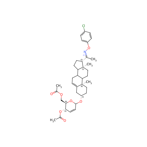 CC(=O)OC[C@H]1OC(O[C@H]2CC[C@@]3(C)C(=CCC4C3CC[C@@]3(C)C4CC[C@@H]3/C(C)=N/Oc3ccc(Cl)cc3)C2)C=C[C@@H]1OC(C)=O